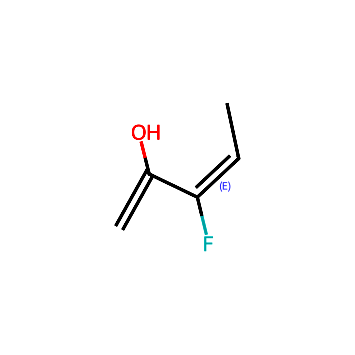 C=C(O)/C(F)=C\C